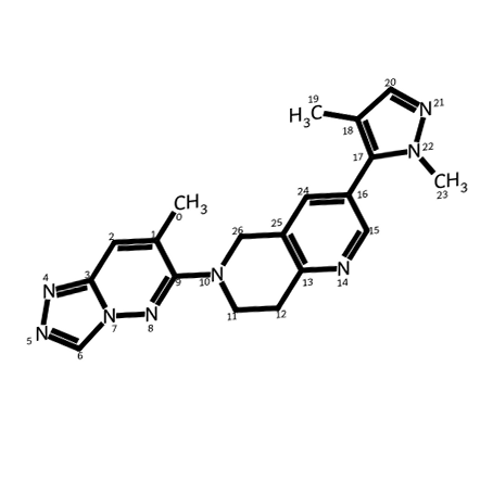 Cc1cc2nncn2nc1N1CCc2ncc(-c3c(C)cnn3C)cc2C1